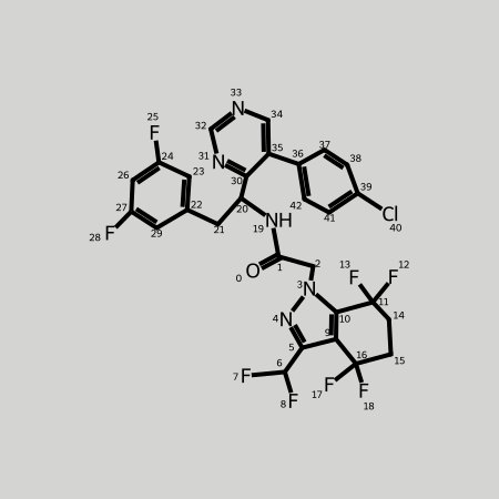 O=C(Cn1nc(C(F)F)c2c1C(F)(F)CCC2(F)F)NC(Cc1cc(F)cc(F)c1)c1ncncc1-c1ccc(Cl)cc1